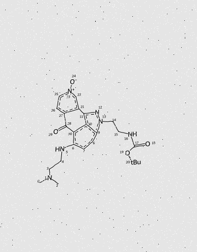 CN(C)CCNc1ccc2c3c(nn2CCNC(=O)OC(C)(C)C)-c2c[n+]([O-])ccc2C(=O)c13